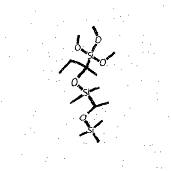 CCC(C)(O[Si](C)(C)C(C)O[Si](C)(C)C)[Si](OC)(OC)OC